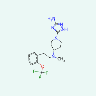 CN(CCc1ccccc1OC(F)(F)F)C1CCN(c2nc(N)n[nH]2)CC1